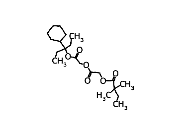 CCC(C)(C)C(=O)OCC(=O)OCC(=O)OC(CC)(CC)C1CCCCC1